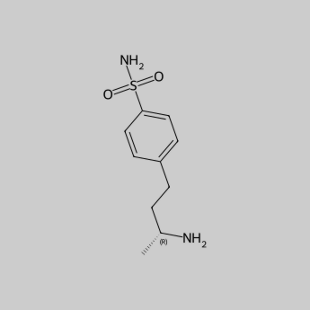 C[C@@H](N)CCc1ccc(S(N)(=O)=O)cc1